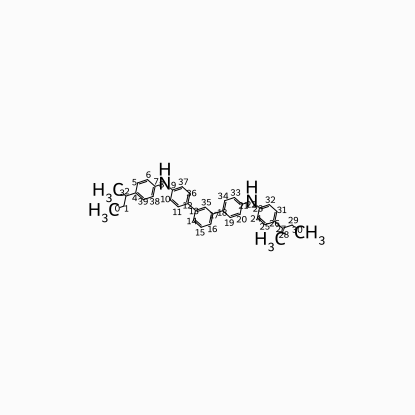 CCC(C)c1ccc(Nc2ccc(-c3cccc(-c4ccc(Nc5ccc(C(C)CC)cc5)cc4)c3)cc2)cc1